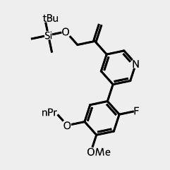 C=C(CO[Si](C)(C)C(C)(C)C)c1cncc(-c2cc(OCCC)c(OC)cc2F)c1